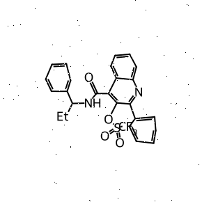 CCC(NC(=O)c1c(OS(=O)(=O)C(F)(F)F)c(-c2ccccc2)nc2ccccc12)c1ccccc1